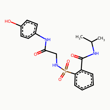 CC(C)NC(=O)c1ccccc1S(=O)(=O)NCC(=O)Nc1ccc(O)cc1